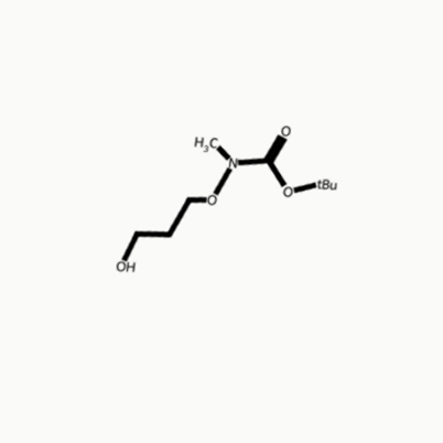 CN(OCCCO)C(=O)OC(C)(C)C